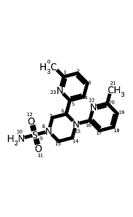 Cc1cccc(C2CN(S(N)(=O)=O)CCN2c2cccc(C)n2)n1